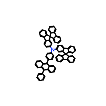 c1ccc(-c2c3ccccc3c(-c3ccc(N(c4ccc5c(c4)C4(c6ccccc6-c6ccccc64)c4ccccc4-5)c4ccc5c(c4)C4(c6ccccc6-c6ccccc64)c4ccccc4-5)cc3)c3ccccc23)cc1